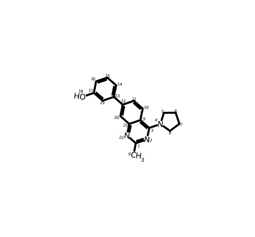 Cc1nc(N2CCCC2)c2ccc(-c3cccc(O)c3)cc2n1